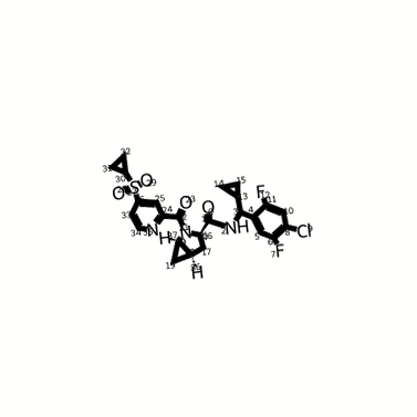 O=C(NC(c1cc(F)c(Cl)cc1F)C1CC1)[C@H]1C[C@H]2C[C@H]2N1C(=O)c1cc(S(=O)(=O)C2CC2)ccn1